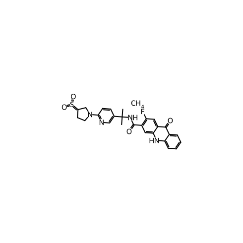 C.CC(C)(NC(=O)c1cc2[nH]c3ccccc3c(=O)c2cc1F)c1ccc(N2CCC(=S(=O)=O)C2)nc1